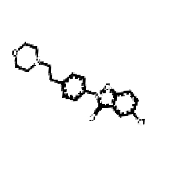 O=c1c2cc(Cl)ccc2on1-c1ccc(CCN2CCOCC2)cc1